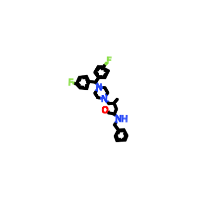 CC(CC(C=O)NCc1ccccc1)CN1CCN(C(c2ccc(F)cc2)c2ccc(F)cc2)CC1